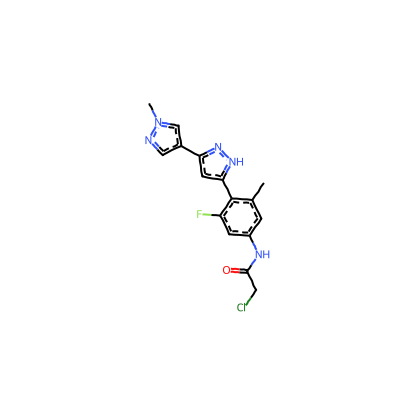 Cc1cc(NC(=O)CCl)cc(F)c1-c1cc(-c2cnn(C)c2)n[nH]1